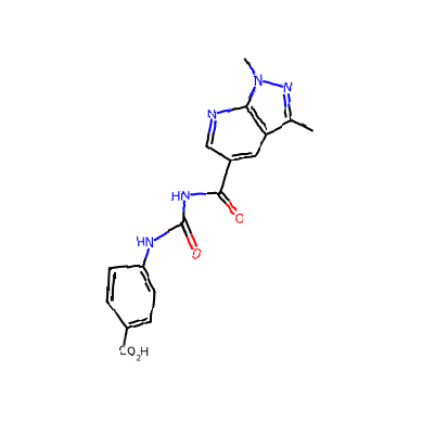 Cc1nn(C)c2ncc(C(=O)NC(=O)Nc3ccc(C(=O)O)cc3)cc12